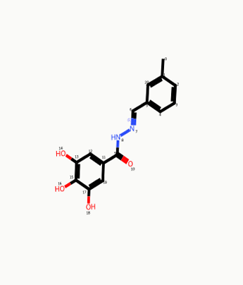 Cc1cccc(/C=N/NC(=O)c2cc(O)c(O)c(O)c2)c1